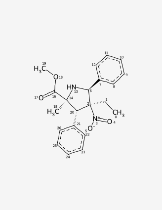 CC[C@@]1([N+](=O)[O-])[C@H](c2ccccc2)N[C@](C)(C(=O)OC)[C@H]1c1ccccc1